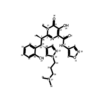 C[C@@H](c1nc(C(=O)Nc2cnoc2)c(O)c(=O)n1C)[C@H](c1cnn(CCCN(C)C)c1)c1ccccc1C#N